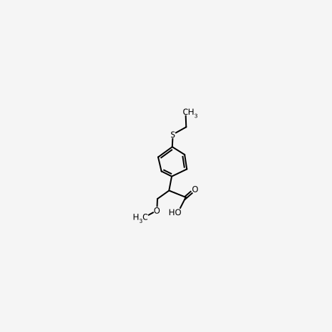 CCSc1ccc(C(COC)C(=O)O)cc1